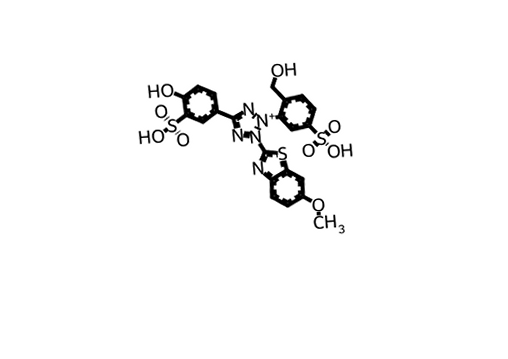 COc1ccc2nc(-n3nc(-c4ccc(O)c(S(=O)(=O)O)c4)n[n+]3-c3cc(S(=O)(=O)O)ccc3CO)sc2c1